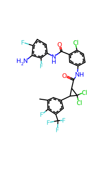 Cc1cc(C2C(C(=O)Nc3ccc(Cl)c(C(=O)Nc4ccc(F)c(N)c4F)c3)C2(Cl)Cl)cc(C(F)(F)F)c1F